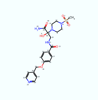 CS(=O)(=O)N1CCN([C@](O)(CNC(=O)c2ccc(OCc3ccncc3)cc2)C(N)=O)CC1